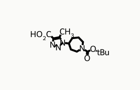 Cc1c(C(=O)O)nnn1C1CCCN(C(=O)OC(C)(C)C)CC1